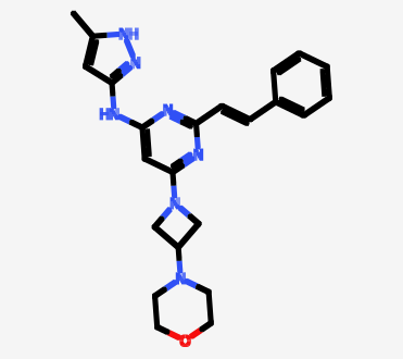 Cc1cc(Nc2cc(N3CC(N4CCOCC4)C3)nc(C=Cc3ccccc3)n2)n[nH]1